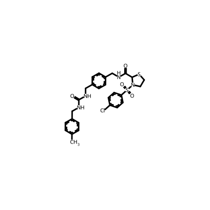 Cc1ccc(CNC(=O)NCc2ccc(CNC(=O)C3SCCN3S(=O)(=O)c3ccc(Cl)cc3)cc2)cc1